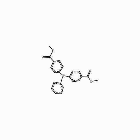 COC(=O)c1ccc([S+](c2ccccc2)c2ccc(C(=O)OC)cc2)cc1